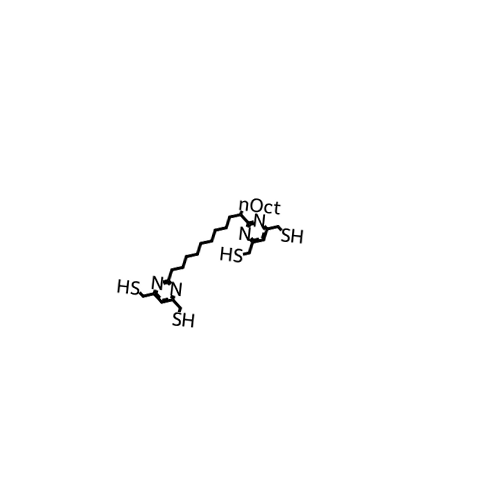 CCCCCCCCC(CCCCCCCCCc1nc(CS)cc(CS)n1)c1nc(CS)cc(CS)n1